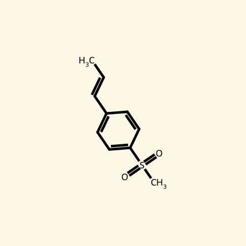 C/C=C/c1ccc(S(C)(=O)=O)cc1